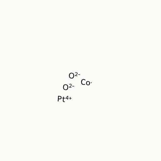 [Co].[O-2].[O-2].[Pt+4]